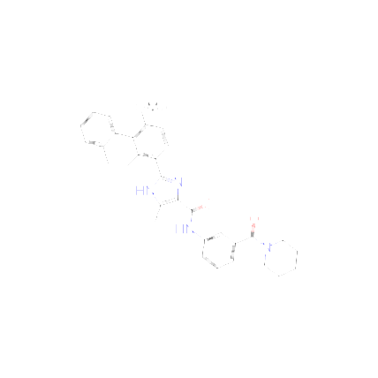 COc1ccc(-c2nc(C(=O)Nc3cccc(C(=O)N4CCCCC4)c3)c(C)[nH]2)c(C)c1-c1ccccc1C